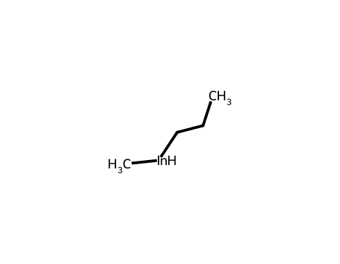 CC[CH2][InH][CH3]